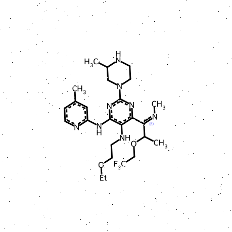 CCOCCNc1c(Nc2cc(C)ccn2)nc(N2CCNC(C)C2)nc1/C(=N\C)C(C)OCC(F)(F)F